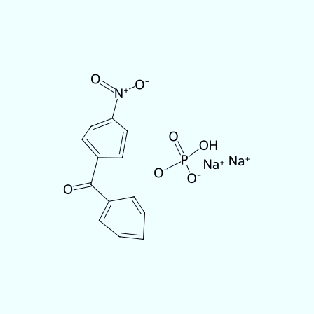 O=C(c1ccccc1)c1ccc([N+](=O)[O-])cc1.O=P([O-])([O-])O.[Na+].[Na+]